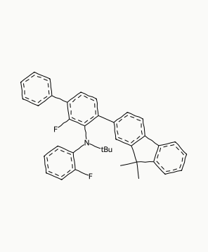 CC1(C)c2ccccc2-c2ccc(-c3ccc(-c4ccccc4)c(F)c3N(c3ccccc3F)C(C)(C)C)cc21